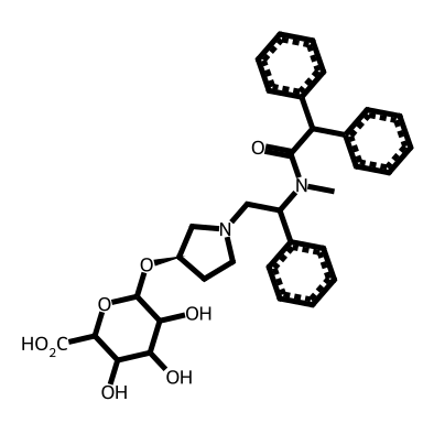 CN(C(=O)C(c1ccccc1)c1ccccc1)C(CN1CC[C@@H](OC2OC(C(=O)O)C(O)C(O)C2O)C1)c1ccccc1